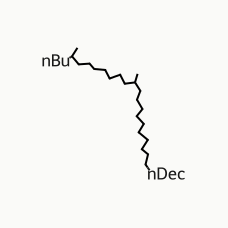 CCCCCCCCCCCCCCCCCCCCC(C)CCCCCCCC(C)CCCC